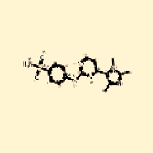 Cc1nc(C)n(C)c1-c1ccnc(Nc2ccc(S(N)(=O)=O)cc2)n1